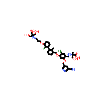 Cc1c(COc2cc(OCc3cncc(C#N)c3)c(CNC(C)(CO)C(=O)O)cc2Cl)cccc1-c1cccc(OCCCNC(CO)(CO)CO)c1Cl